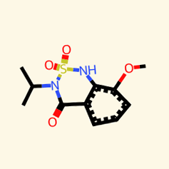 COc1cccc2c1NS(=O)(=O)N(C(C)C)C2=O